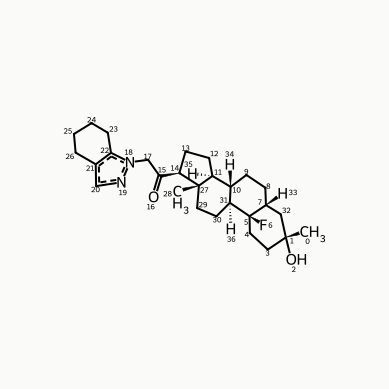 C[C@@]1(O)CC[C@@]2(F)[C@H](CC[C@H]3[C@@H]4CC[C@H](C(=O)Cn5ncc6c5CCCC6)[C@@]4(C)CC[C@@H]32)C1